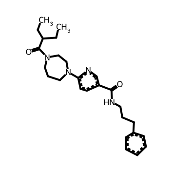 CCC(CC)C(=O)N1CCCN(c2ccc(C(=O)NCCCc3ccccc3)cn2)CC1